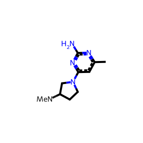 CNC1CCN(c2cc(C)nc(N)n2)C1